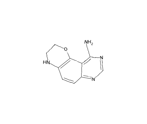 Nc1ncnc2ccc3c(c12)OCCN3